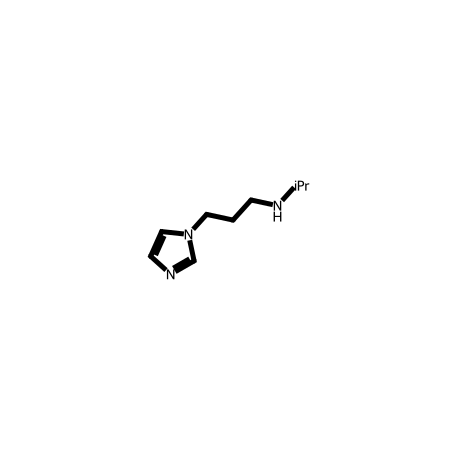 CC(C)NCCCn1ccnc1